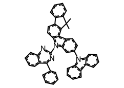 CC1(C)c2ccccc2-c2ccc3c(c21)c1ccc(-n2c4ccccc4c4ccccc42)cc1n3-c1nc(-c2ccccc2)c2ccccc2n1